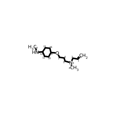 C=CCN(C)CCCOC1CCC(NC)CC1